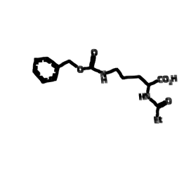 CCC(=O)NC(CCCNC(=O)OCc1ccccc1)C(=O)O